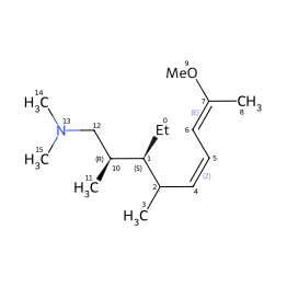 CC[C@@H](C(C)/C=C\C=C(/C)OC)[C@@H](C)CN(C)C